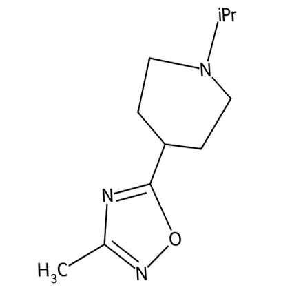 Cc1noc(C2CCN(C(C)C)CC2)n1